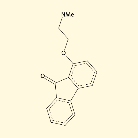 CNCCOc1cccc2c1C(=O)c1ccccc1-2